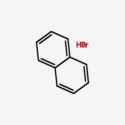 Br.c1ccc2ccccc2c1